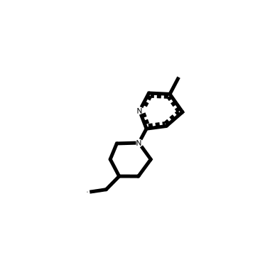 [CH2]CC1CCN(c2ccc(C)cn2)CC1